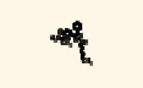 CCCCCCNc1nc(-c2ccccc2)c(-c2ccc(=O)n(C(C)C)n2)s1